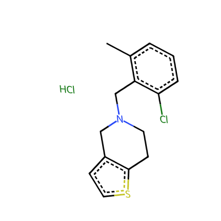 Cc1cccc(Cl)c1CN1CCc2sccc2C1.Cl